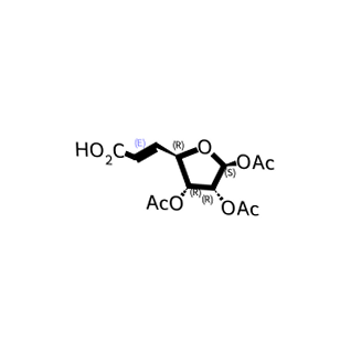 CC(=O)O[C@@H]1O[C@H](/C=C/C(=O)O)[C@@H](OC(C)=O)[C@H]1OC(C)=O